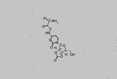 CC[C@@H](N)C(=O)ONc1ccn([C@@H]2O[C@H](CO)[C@H]3OC(=O)O[C@H]32)c(=O)n1